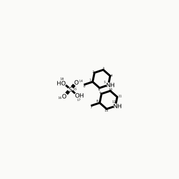 CC1CCCNC1.CC1CCCNC1.O=S(=O)(O)O